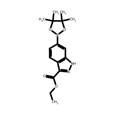 CCOC(=O)c1n[nH]c2cc(B3OC(C)(C)C(C)(C)O3)ccc12